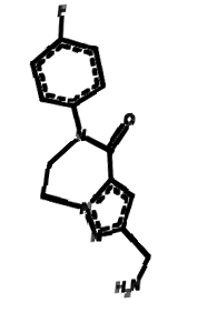 NCc1cc2n(n1)CCN(c1ccc(F)cc1)C2=O